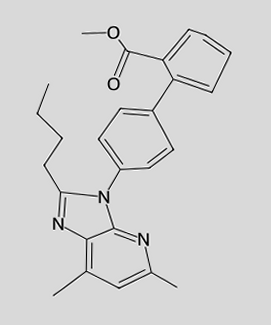 CCCCc1nc2c(C)cc(C)nc2n1-c1ccc(-c2ccccc2C(=O)OC)cc1